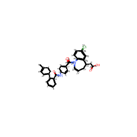 Cc1ccc(-c2ccccc2C(=O)Nc2ccc(C(=O)N3CCCC(CC(=O)O)c4cc(Cl)ccc43)cc2)cc1